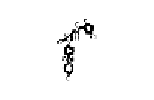 O=C(NCC1CN(c2ccc(S(=O)(=O)N3CCC(O)CC3)cc2)C(=O)O1)C1=CC(Cl)=CCC1=S